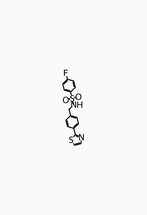 O=S(=O)(NCc1ccc(-c2nccs2)cc1)c1ccc(F)cc1